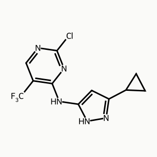 FC(F)(F)c1cnc(Cl)nc1Nc1cc(C2CC2)n[nH]1